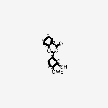 COc1ccc(C2OC(=O)c3ccccc3O2)cc1O